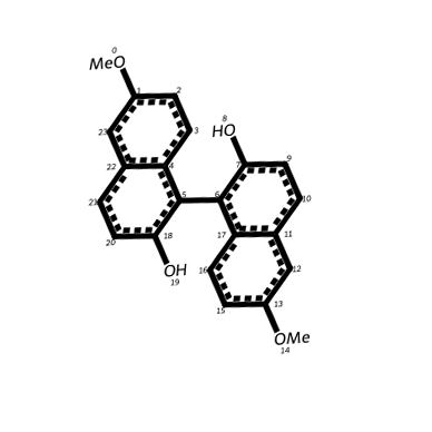 COc1ccc2c(-c3c(O)ccc4cc(OC)ccc34)c(O)ccc2c1